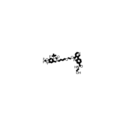 CC(C)(C)OC(=O)N(CCCCOCCOc1nc2cc(C(=O)NCCO)ccc2c2cnccc12)Cc1cc(F)c(OC(F)(F)F)c(F)c1